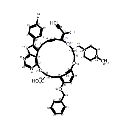 C#C/C(Cl)=C1\C=C/Cc2c(-c3ccc(F)cc3)sc3ncnc(c23)O[C@@H](C(=O)O)Cc2cc(ccc2OCc2ccccc2)OC[C@@H](CN2CCN(C)CC2)O1